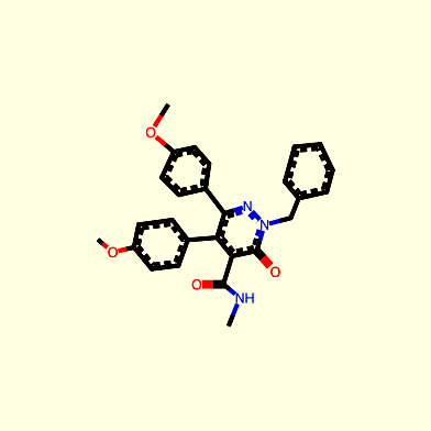 CNC(=O)c1c(-c2ccc(OC)cc2)c(-c2ccc(OC)cc2)nn(Cc2ccccc2)c1=O